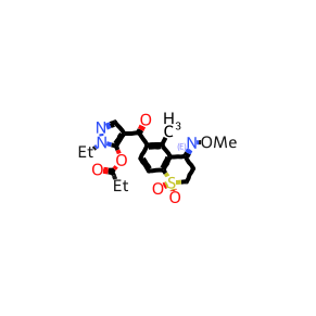 CCC(=O)Oc1c(C(=O)c2ccc3c(c2C)/C(=N/OC)CCS3(=O)=O)cnn1CC